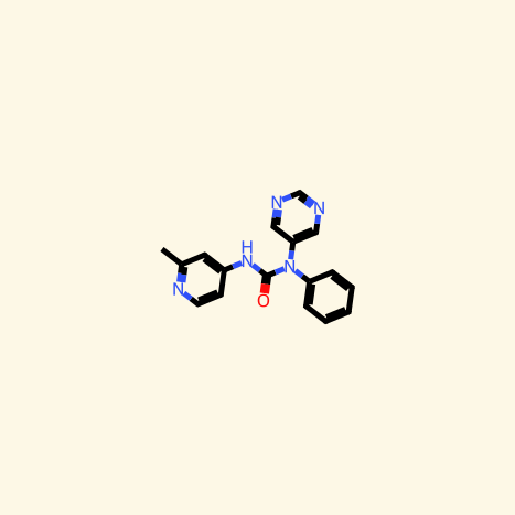 Cc1cc(NC(=O)N(c2ccccc2)c2cncnc2)ccn1